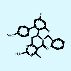 COc1ccc(-c2cc(F)cc(F)c2C2Cc3nc(N)nc(C)c3C(=O)N2Cc2ccccc2)cc1